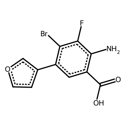 Nc1c(C(=O)O)cc(-c2ccoc2)c(Br)c1F